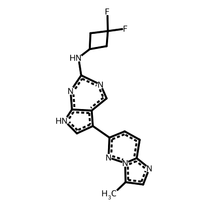 Cc1cnc2ccc(-c3c[nH]c4nc(NC5CC(F)(F)C5)ncc34)nn12